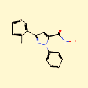 Cc1ccccc1-c1cc(C(=O)NO)n(-c2ccccc2)n1